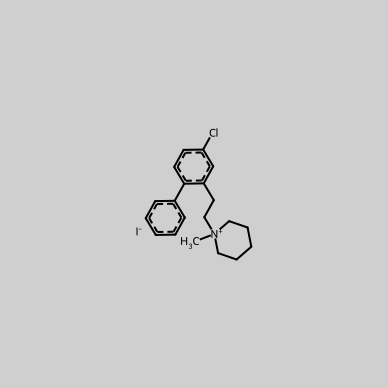 C[N+]1(CCc2cc(Cl)ccc2-c2ccccc2)CCCCC1.[I-]